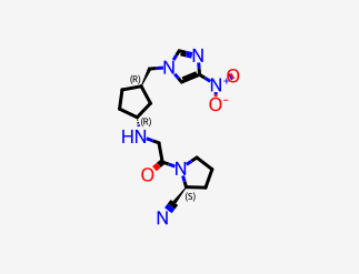 N#C[C@@H]1CCCN1C(=O)CN[C@@H]1CC[C@@H](Cn2cnc([N+](=O)[O-])c2)C1